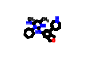 CNC1CC(C)NC(Nc2cc3c(c(C4=CCNCCC4)c2)COC3)N1C1CCCCCC1